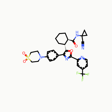 N#CC1(NC(=O)[C@@H]2CCCC[C@H]2c2oc(-c3cc(C(F)(F)F)ccn3)nc2-c2ccc(N3CCS(=O)(=O)CC3)cc2)CC1